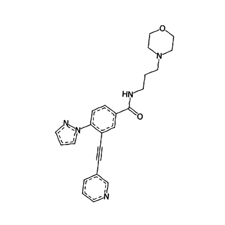 O=C(NCCCN1CCOCC1)c1ccc(-n2cccn2)c(C#Cc2cccnc2)c1